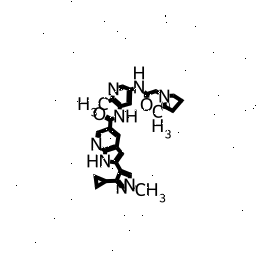 Cc1ncc(NC(=O)CN2CCC[C@@H]2C)cc1NC(=O)c1cnc2[nH]c(-c3cn(C)nc3C3CC3)cc2c1